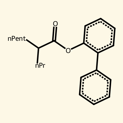 CCCCCC(CCC)C(=O)Oc1ccccc1-c1ccccc1